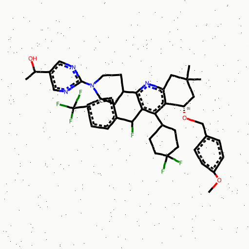 COc1ccc(CO[C@H]2CC(C)(C)Cc3nc(C4CCN(c5ncc(C(C)O)cn5)CC4)c(C(F)c4ccc(C(F)(F)F)cc4)c(C4CCC(F)(F)CC4)c32)cc1